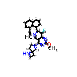 C#Cc1cccc2cccc(-c3ncc4c(N5CCC6(CCN6)C5)nc(OC)nc4c3F)c12